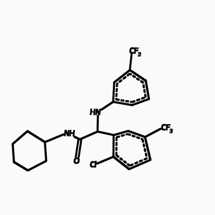 O=C(NC1CCCCC1)C(Nc1cccc(C(F)(F)F)c1)c1cc(C(F)(F)F)ccc1Cl